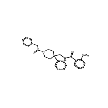 COc1ccccc1C(=O)NCC1(c2ccccc2)CCN(C(=O)Cc2ccccc2)CC1